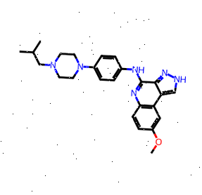 COc1ccc2nc(Nc3ccc(N4CCN(CC(C)C)CC4)cc3)c3n[nH]cc3c2c1